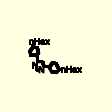 CCCCCCc1ccc(-c2cc(-c3ccc(CCCCCC)cc3)ncn2)cc1